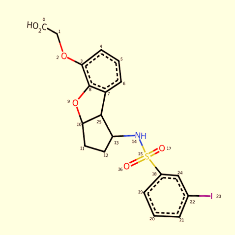 O=C(O)COc1cccc2c1OC1CCC(NS(=O)(=O)c3cccc(I)c3)C21